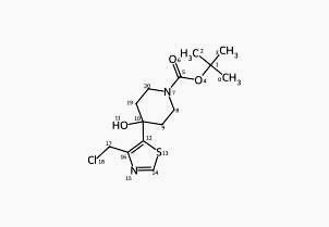 CC(C)(C)OC(=O)N1CCC(O)(c2scnc2CCl)CC1